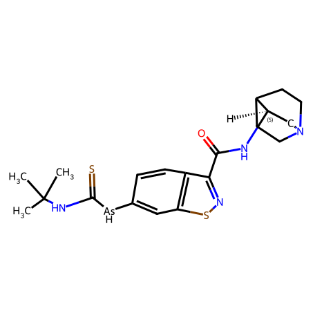 CC(C)(C)NC(=S)[AsH]c1ccc2c(C(=O)N[C@@H]3CN4CCC3CC4)nsc2c1